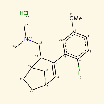 COc1ccc(F)c(C2=CC3CCC(C3)C2CN(C)C)c1.Cl